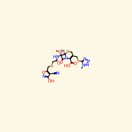 CO[C@@]1(NC(=O)CSCc2onc(O)c2C#N)C(=O)N2C(C(=O)O)=C(CSc3nnnn3C)CS[C@@H]21